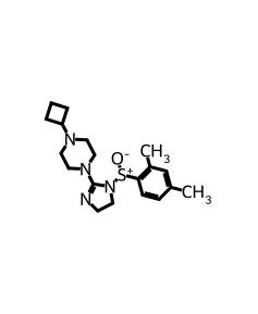 Cc1ccc([S+]([O-])N2CCN=C2N2CCN(C3CCC3)CC2)c(C)c1